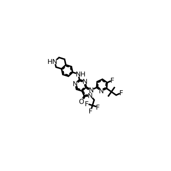 CC(C)(CF)c1nc(-n2c3nc(Nc4ccc5c(c4)CCNC5)ncc3c(=O)n2CC(F)(F)F)ccc1F